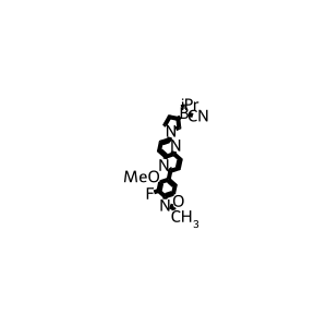 COc1c(-c2ccc3nc(N4CCC(B(C#N)C(C)C)C4)ccc3n2)cc2oc(C)nc2c1F